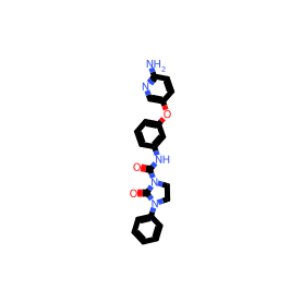 Nc1ccc(Oc2cccc(NC(=O)N3CCN(c4ccccc4)C3=O)c2)cn1